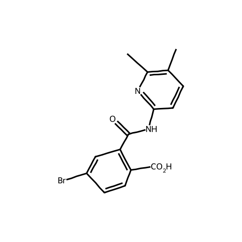 Cc1ccc(NC(=O)c2cc(Br)ccc2C(=O)O)nc1C